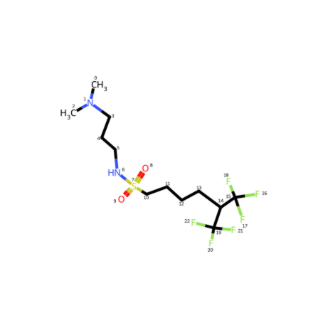 CN(C)CCCNS(=O)(=O)CCCCC(C(F)(F)F)C(F)(F)F